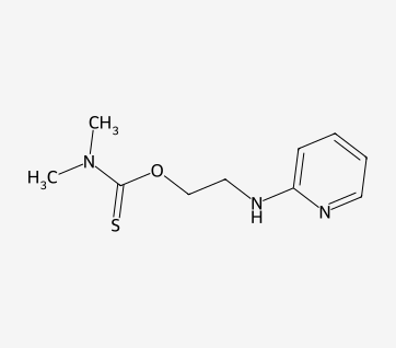 CN(C)C(=S)OCCNc1ccccn1